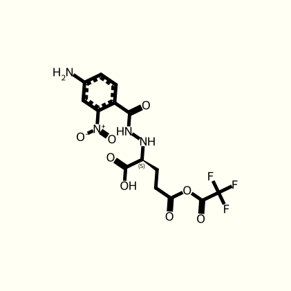 Nc1ccc(C(=O)NN[C@@H](CCC(=O)OC(=O)C(F)(F)F)C(=O)O)c([N+](=O)[O-])c1